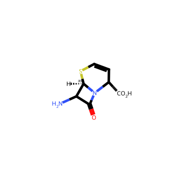 NC1C(=O)N2C(C(=O)O)C=CS[C@H]12